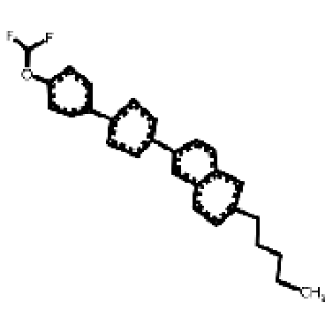 CCCCCc1ccc2cc(-c3ccc(-c4ccc(OC(F)F)cc4)cc3)ccc2c1